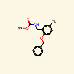 CC(C)(C)OC(=O)NCc1cc(C#N)ccc1OCc1ccccc1